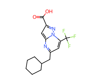 O=C(O)c1cc2nc(CC3CCCCC3)cc(C(F)(F)F)n2n1